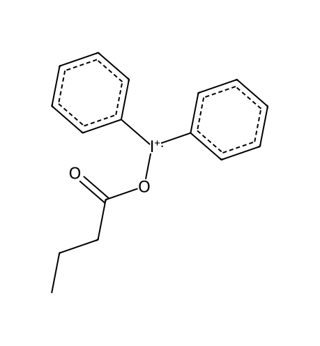 CCCC(=O)O[I+](c1ccccc1)c1ccccc1